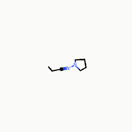 CCC#[N+]N1CCCC1